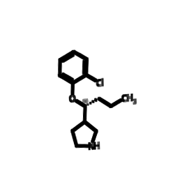 CCC[C@@H](Oc1ccccc1Cl)C1CCNC1